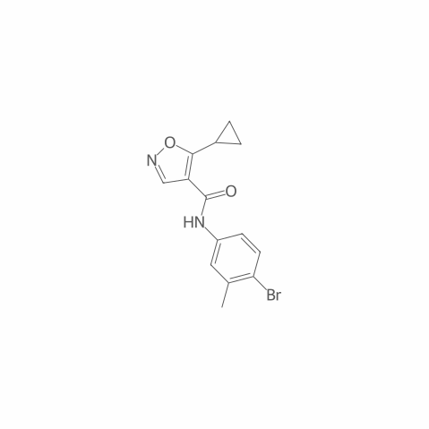 Cc1cc(NC(=O)c2cnoc2C2CC2)ccc1Br